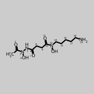 CC(=O)N(O)NC(=O)CCC(=O)N(O)CCCCCN